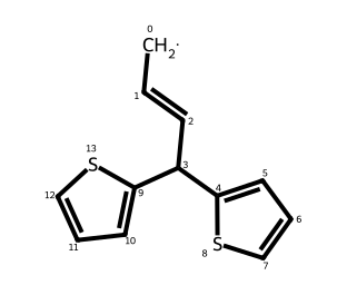 [CH2]C=CC(c1cccs1)c1cccs1